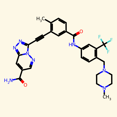 Cc1ccc(C(=O)Nc2ccc(CN3CCN(C)CC3)c(C(F)(F)F)c2)cc1C#Cc1nnc2cc(C(N)=O)cnn12